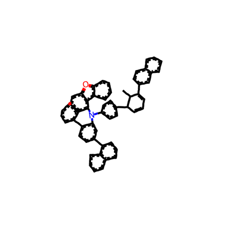 CC1C(c2ccc3ccccc3c2)=CC=CC1c1ccc(N(c2cc(-c3cccc4ccccc34)ccc2-c2ccccc2)c2cccc3oc4ccccc4c23)cc1